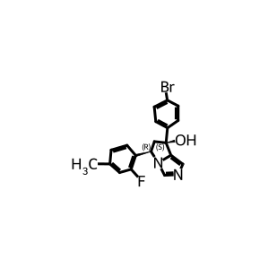 Cc1ccc([C@H]2C[C@](O)(c3ccc(Br)cc3)c3cncn32)c(F)c1